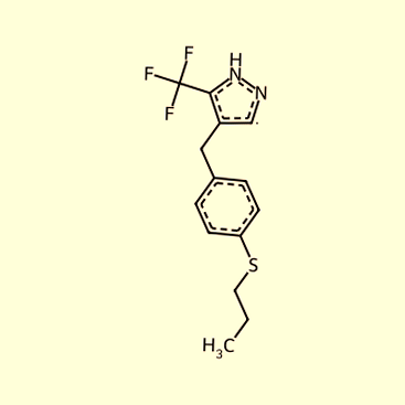 CCCSc1ccc(Cc2[c]n[nH]c2C(F)(F)F)cc1